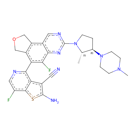 C[C@H]1[C@H](N2CCN(C)CC2)CCN1c1ncc2c3c(c(-c4ncc(F)c5sc(N)c(C#N)c45)c(F)c2n1)COC3